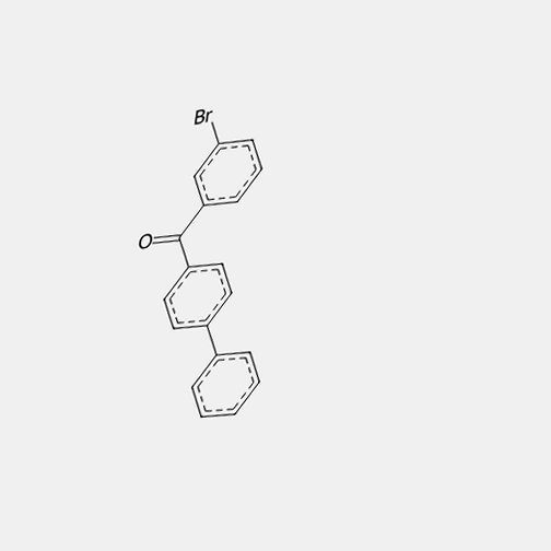 O=C(c1ccc(-c2ccccc2)cc1)c1cccc(Br)c1